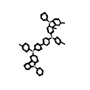 Cc1ccc(N(C2=CC3(C)C4=C(C=CC(C)C4)N(c4ccccc4)C3C=C2)C2=CC=C(c3ccc(N(c4ccc(C)cc4)c4ccc5c(c4)c4ccccc4n5-c4ccccc4)cc3)CC2)cc1